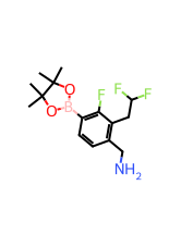 CC1(C)OB(c2ccc(CN)c(CC(F)F)c2F)OC1(C)C